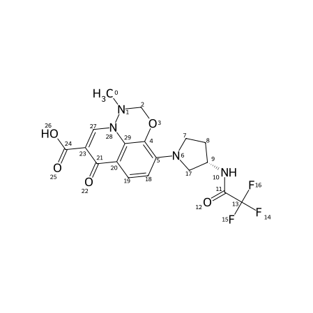 CN1COc2c(N3CC[C@H](NC(=O)C(F)(F)F)C3)ccc3c(=O)c(C(=O)O)cn1c23